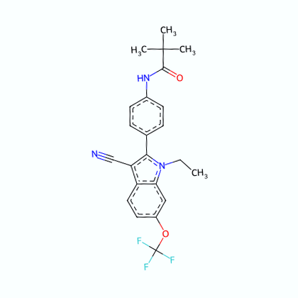 CCn1c(-c2ccc(NC(=O)C(C)(C)C)cc2)c(C#N)c2ccc(OC(F)(F)F)cc21